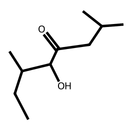 CCC(C)C(O)C(=O)CC(C)C